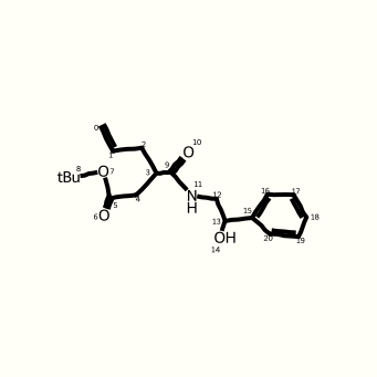 C=CCC(CC(=O)OC(C)(C)C)C(=O)NCC(O)c1ccccc1